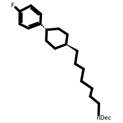 CCCCCCCCCCCCCCCCC[C@H]1CC[C@H](c2ccc(F)cc2)CC1